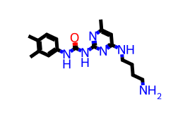 Cc1cc(NCCCCN)nc(NC(=O)Nc2ccc(C)c(C)c2)n1